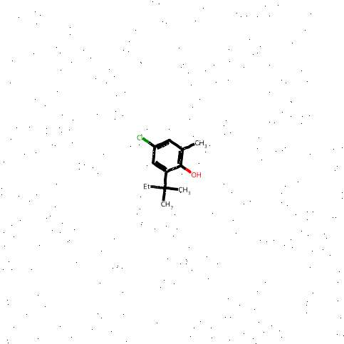 CCC(C)(C)c1cc(Cl)cc(C)c1O